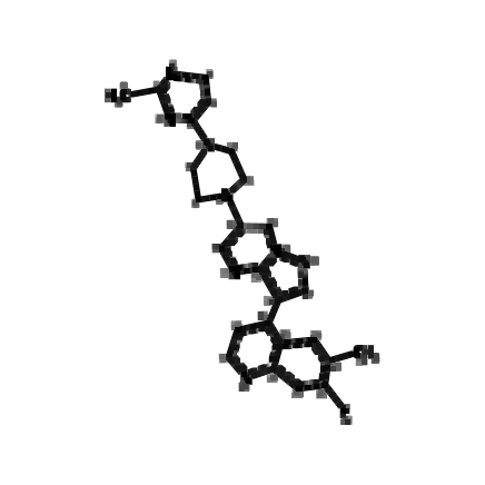 Cc1nccc(N2CCN(c3cnc4c(-c5ccnc6cc(F)c(C)cc56)cnn4c3)CC2)n1